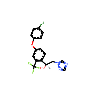 C[C@@](O)(Cn1cncn1)c1ccc(Oc2ccc(Cl)cc2)cc1C(F)(F)F